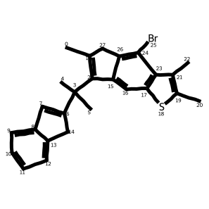 CC1=C(C(C)(C)C2=Cc3ccccc3C2)c2cc3sc(C)c(C)c3c(Br)c2C1